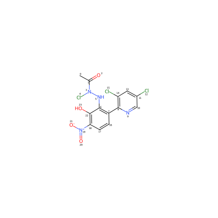 CC(=O)N(Cl)Nc1c(-c2ncc(Cl)cc2Cl)ccc([N+](=O)[O-])c1O